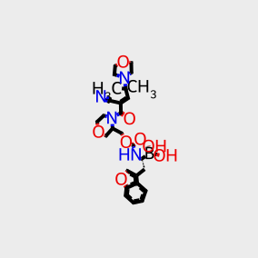 CC(C)(C=C(C#N)C(=O)N1CCOCC1COC(=O)N[C@@H](Cc1coc2ccccc12)B(O)O)N1CCOCC1